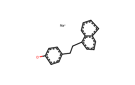 [Na+].[O-]c1ccc(CCc2cccc3ccccc23)cc1